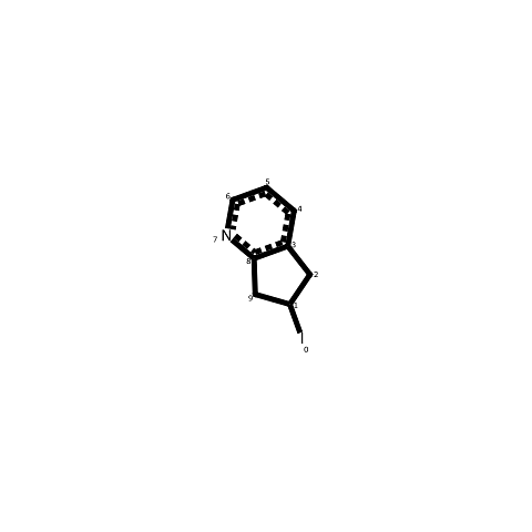 IC1Cc2cccnc2C1